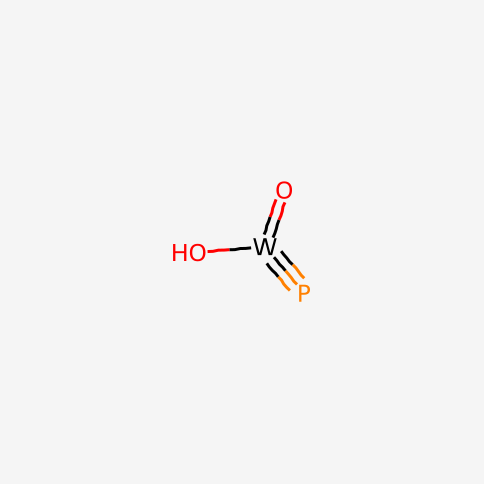 [O]=[W]([OH])#[P]